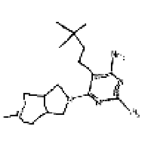 CN1CC2CN(c3nc(N)nc(N)c3CCC(C)(C)C)CC2C1